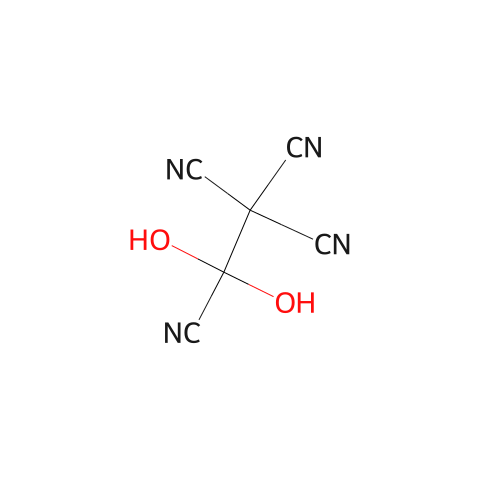 N#CC(O)(O)C(C#N)(C#N)C#N